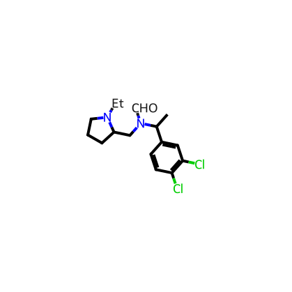 CCN1CCCC1CN(C=O)C(C)c1ccc(Cl)c(Cl)c1